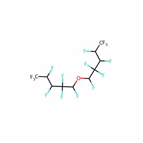 FC(C(F)C(F)(F)C(F)OC(F)C(F)(F)C(F)C(F)C(F)(F)F)C(F)(F)F